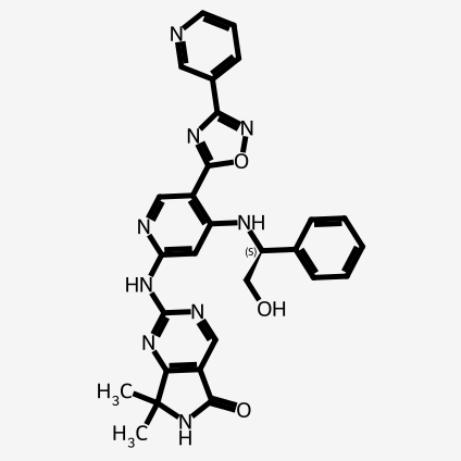 CC1(C)NC(=O)c2cnc(Nc3cc(N[C@H](CO)c4ccccc4)c(-c4nc(-c5cccnc5)no4)cn3)nc21